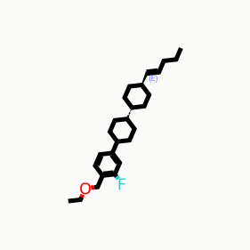 CCC/C=C/[C@H]1CC[C@H](C2CCC(c3ccc(COCC)c(F)c3)CC2)CC1